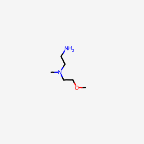 COCCN(C)CCN